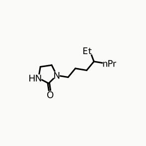 CCCC(CC)CCCN1CCNC1=O